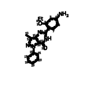 CCOc1cc(N)ccc1-c1nc2c(C)nn(-c3ccccc3)c2c(=O)[nH]1